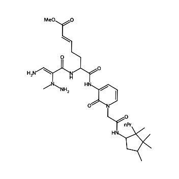 CCCC1(C)C(NC(=O)Cn2cccc(NC(=O)C(CC/C=C/C(=O)OC)NC(=O)/C(=C/N)N(C)N)c2=O)CC(C)C1(C)C